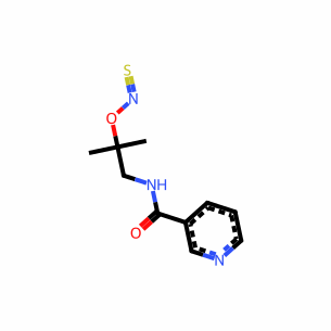 CC(C)(CNC(=O)c1cccnc1)ON=S